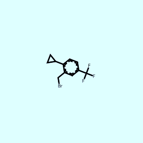 FC(F)(F)c1[c]c(CBr)c(C2CC2)cc1